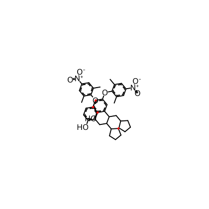 Cc1cc([N+](=O)[O-])cc(C)c1Oc1ccc(O)c(CC(C2CCCC2)C(CC2CCCC2)c2cc(Oc3c(C)cc([N+](=O)[O-])cc3C)ccc2O)c1